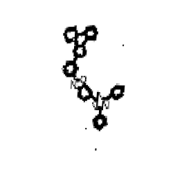 C1=Cc2c(c3cc(-c4cccc(-c5nc6ccc(-c7nc(-c8ccccc8)nc(-c8ccccc8)n7)cc6o5)c4)ccc3c3ccccc23)CC1